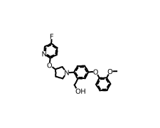 COc1ccccc1Oc1ccc(N2CCC(Oc3ccc(F)cn3)C2)c(CO)c1